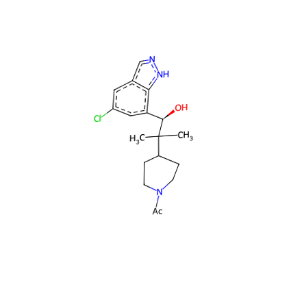 CC(=O)N1CCC(C(C)(C)[C@H](O)c2cc(Cl)cc3cn[nH]c23)CC1